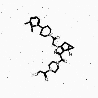 Cc1cccc(C2CCN(C(=O)Cn3nc(C(=O)N4CCN(C(=O)CO)CC4)c4c3CC3C[C@H]43)CC2)c1C